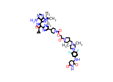 C[C@H]1CN(c2c(F)cc(NC3CCC(=O)NC3=O)cc2F)C[C@H](C)N1CC1CCN(C(=O)COC(=O)N2CCC(c3cnc(-c4c(-c5nn(C(C)(C)C)c6ncnc(N)c56)noc4C4CC4)nc3)CC2)CC1